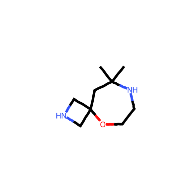 CC1(C)CC2(CNC2)OCCN1